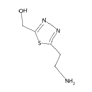 NCCc1nnc(CO)s1